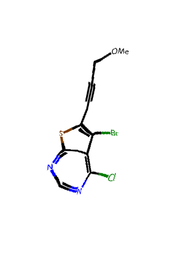 COCC#Cc1sc2ncnc(Cl)c2c1Br